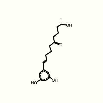 C[C@H](O)CCCC(=O)CCC/C=C/c1cc(O)cc(O)c1